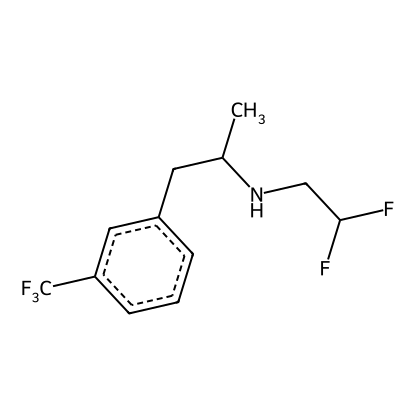 CC(Cc1cccc(C(F)(F)F)c1)NCC(F)F